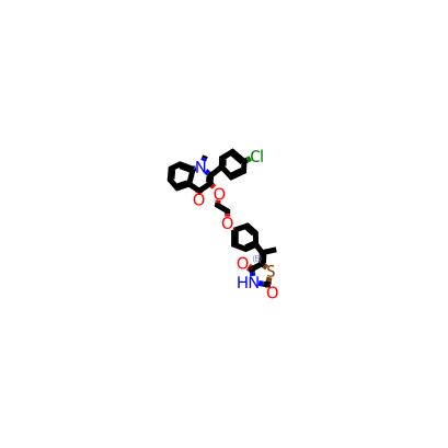 C/C(=C1\SC(=O)NC1=O)c1ccc(OCCOc2c(-c3ccc(Cl)cc3)n(C)c3ccccc3c2=O)cc1